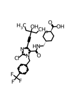 CCC(O)(C#Cc1nc(Cl)n(Cc2ccc(C(F)(F)F)cc2)c1C(=O)NC[C@H]1CC[C@H](C(=O)O)CC1)CC